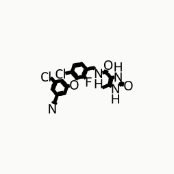 Cc1[nH]c(=O)[nH]c1C(=O)NCc1ccc(Cl)c(Oc2cc(Cl)cc(C#N)c2)c1F